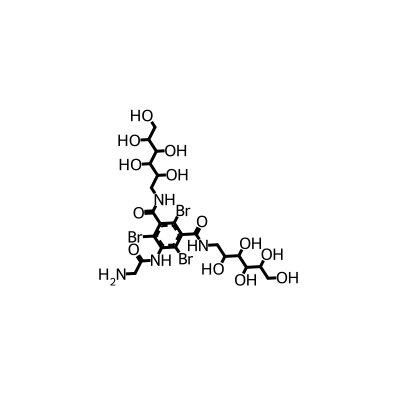 NCC(=O)Nc1c(Br)c(C(=O)NCC(O)C(O)C(O)C(O)CO)c(Br)c(C(=O)NCC(O)C(O)C(O)C(O)CO)c1Br